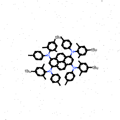 Cc1ccc(N(c2c(C)cc(C(C)(C)C)cc2C)c2cc(N(c3ccc(C)cc3)c3c(C)cc(C(C)(C)C)cc3C)c3ccc4c(N(c5ccc(C)cc5)c5c(C)cc(C(C)(C)C)cc5C)cc(N(c5ccc(C)cc5)c5c(C)cc(C(C)(C)C)cc5C)c5ccc2c3c54)cc1